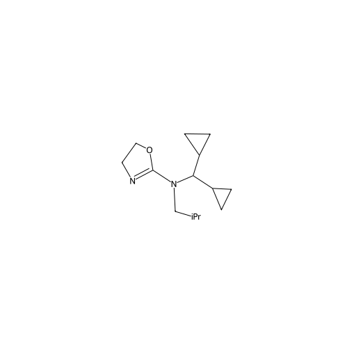 CC(C)CN(C1=NCCO1)C(C1CC1)C1CC1